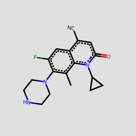 Cc1c(N2CCNCC2)c(F)cc2c(C#N)cc(=O)n(C3CC3)c12